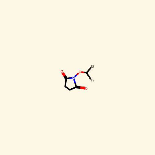 CCC(CC)ON1C(=O)CCC1=O